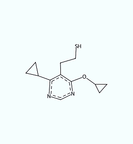 SCCc1c(OC2CC2)ncnc1C1CC1